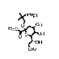 CCCCCCCC(C)(C)CO[C@]1(C(=O)OC)C[C@@H](O)[C@@H](O)C([C@H](O)COC(C)=O)O1